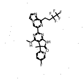 CNc1nc(-c2cn3ccnc3c(CCC(F)(F)C(F)(F)F)n2)nc2c1C(C)(c1ccc(F)cn1)C(=O)N2